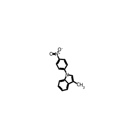 Cc1cn(-c2ccc([N+](=O)[O-])cc2)c2ccccc12